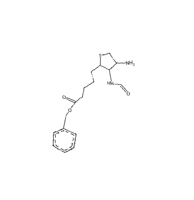 NC1CSC(CCCCC(=O)OCc2ccccc2)C1NC=O